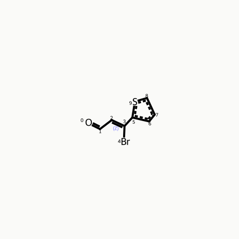 O=C/C=C(\Br)c1cccs1